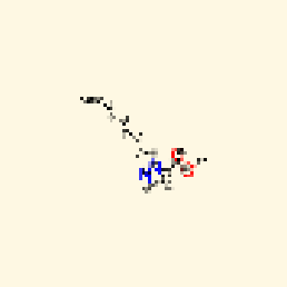 C#CCCCCCCCn1nccc1C(=O)OC